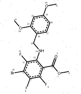 COC(=O)c1c(F)c(F)c(Br)c(F)c1NCc1ccc(OC)cc1OC